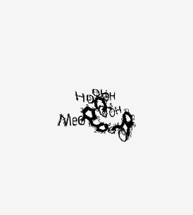 COc1ccc([C@@H]2O[C@H](CO)[C@@H](O)[C@H](O)[C@H]2O)cc1Cc1ccc(OCC2OCc3ccccc32)cc1